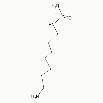 NCCCCCCCNC(N)=O